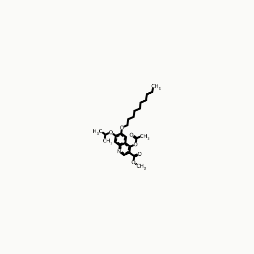 CCCCCCCCCCOc1cc2c(OC(C)=O)c(C(=O)OC)cnc2cc1OC(C)C